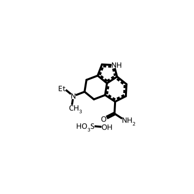 CCN(C)C1Cc2c[nH]c3ccc(C(N)=O)c(c23)C1.O=S(=O)(O)O